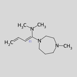 C=C/C=C(\N(C)C)N1CCCN(C)CC1